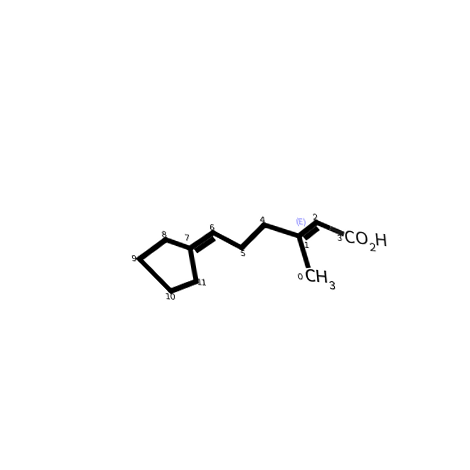 C/C(=C\C(=O)O)CCC=C1CCCC1